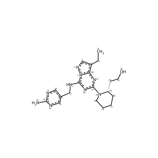 CCc1cnn2c(NCc3cnc(N)nc3)nc(N3CCCC[C@H]3CCO)nc12